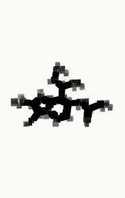 COC(C)c1c(NC(N)=O)cnn2c(F)c(C)nc12